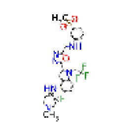 CN1CC[C@H](Nc2cccc3c2cc(-c2nnc(CNc4cccc(S(C)(=O)=O)c4)o2)n3CC(F)(F)F)[C@H](F)C1